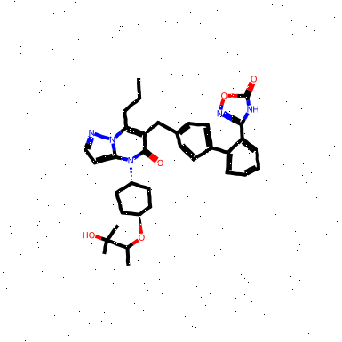 CCCc1c(Cc2ccc(-c3ccccc3-c3noc(=O)[nH]3)cc2)c(=O)n([C@H]2CC[C@H](OC(C)C(C)(C)O)CC2)c2ccnn12